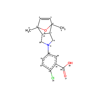 CC12C=CC(C)(O1)C1CN(c3ccc(Cl)c(C(=O)O)c3)CC12